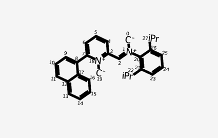 [CH2-]/[N+](=C\c1cccc(-c2cccc3ccccc23)[n+]1[CH2-])c1c(C(C)C)cccc1C(C)C